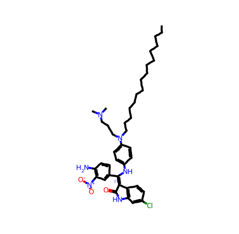 CCCCCCCCCCCCCCCCN(CCCN(C)C)c1ccc(N/C(=C2/C(=O)Nc3cc(Cl)ccc32)c2ccc(N)c([N+](=O)[O-])c2)cc1